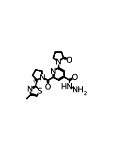 Cc1csc([C@H]2CCCN2C(=O)c2cc(C(=O)NN)cc(N3CCCC3=O)n2)n1